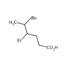 CCC(C)C(C)C(CC)CCC(=O)O